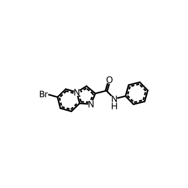 O=C(Nc1ccccc1)c1cn2cc(Br)ccc2n1